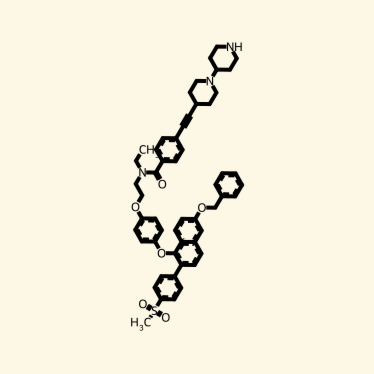 CCN(CCOc1ccc(Oc2c(-c3ccc(S(C)(=O)=O)cc3)ccc3cc(OCc4ccccc4)ccc23)cc1)C(=O)c1ccc(C#CC2CCN(C3CCNCC3)CC2)cc1